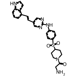 NCC(=O)N1CCC(S(=O)(=O)c2ccc(Nc3ncc(C=Cc4cccc5[nH]ccc45)cn3)cc2)CC1